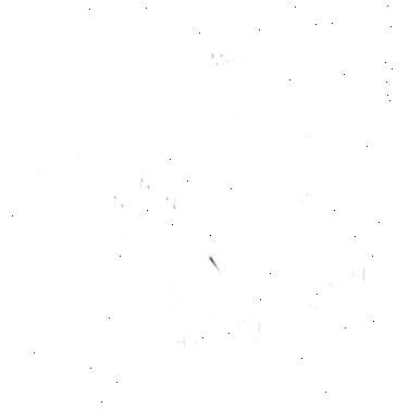 COc1ccc(COCc2cc([C@H](CCc3cn(C4CCC4)nn3)C(C)(C)C(=O)O)ccc2Cl)cc1